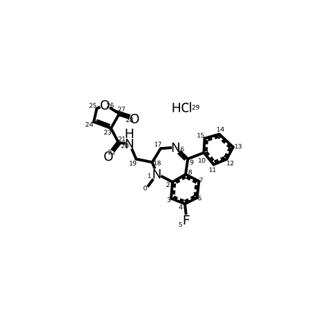 CN1c2cc(F)ccc2C(c2ccccc2)=NCC1CNC(=O)C1=CCOC1=O.Cl